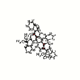 CC1(C)c2ccccc2-c2cc(-c3ccccc3N(c3ccc4c(c3)oc3ccccc34)c3ccccc3-c3cccc4c3-c3ccccc3C4(C)C)ccc21